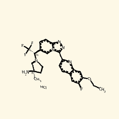 CCOc1cc2nc(-c3nnc4ccc([C@H](N5CC[C@@](C)(N)C5)C(F)(F)F)cn34)ccc2cc1F.Cl